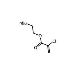 C=C(Cl)C(=O)OCCCCCC